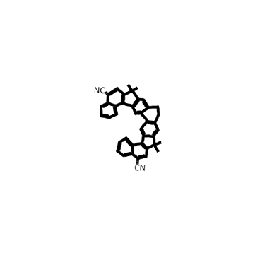 CC1(C)c2cc3c(cc2-c2c1cc(C#N)c1ccccc21)-c1cc2c(cc1CC3)C(C)(C)c1cc(C#N)c3ccccc3c1-2